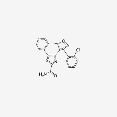 Cc1onc(-c2ccccc2Cl)c1-c1nc(C(N)=O)sc1-c1ccccc1